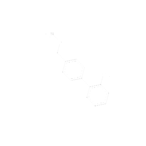 O=C(O)c1ccccc1-c1ccc(CO[N+](=O)[O-])cc1